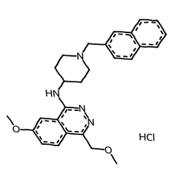 COCc1nnc(NC2CCN(Cc3ccc4ccccc4c3)CC2)c2cc(OC)ccc12.Cl